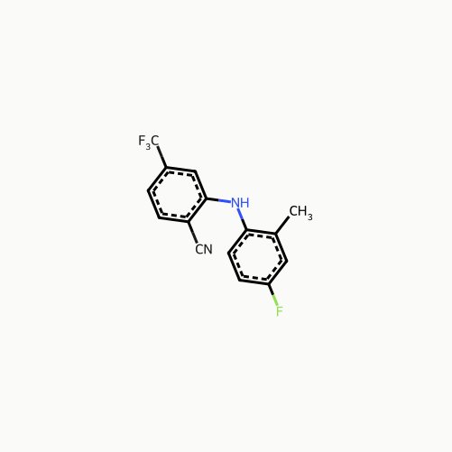 Cc1cc(F)ccc1Nc1cc(C(F)(F)F)ccc1C#N